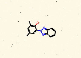 Cc1cc(C)c([O])c(-n2nc3ccccc3n2)c1